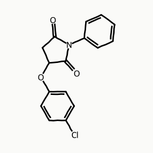 O=C1CC(Oc2ccc(Cl)cc2)C(=O)N1c1ccccc1